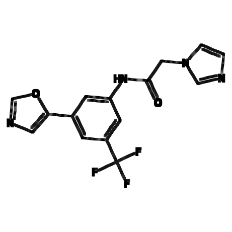 O=C(Cn1ccnc1)Nc1cc(-c2cnco2)cc(C(F)(F)F)c1